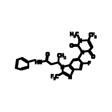 CC(CC(=O)NCc1ccccc1)n1c(C(F)(F)F)nc2cc(F)c(-n3c(=O)cc(C(F)(F)F)n(C)c3=O)cc21